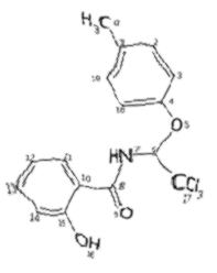 Cc1ccc(OC(NC(=O)c2ccccc2O)C(Cl)(Cl)Cl)cc1